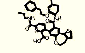 CCCNC(=O)c1ccc(-c2cc3c(cc2C(=O)Nc2ccc(CN)cc2OCCc2ccccc2)-c2sccc2CCO3)c(C(=O)O)n1